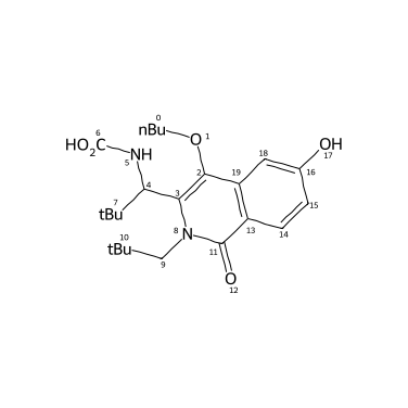 CCCCOc1c(C(NC(=O)O)C(C)(C)C)n(CC(C)(C)C)c(=O)c2ccc(O)cc12